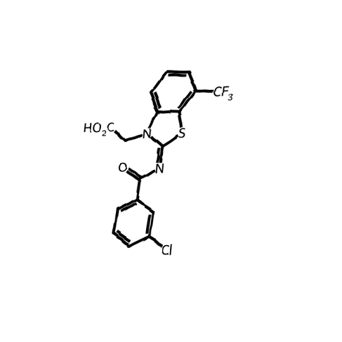 O=C(O)Cn1c(=NC(=O)c2cccc(Cl)c2)sc2c(C(F)(F)F)cccc21